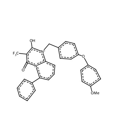 COc1ccc(Oc2ccc(C[n+]3c(O)c(C(F)(F)F)c(=O)n4c(-c5ccccc5)cccc43)cc2)cc1